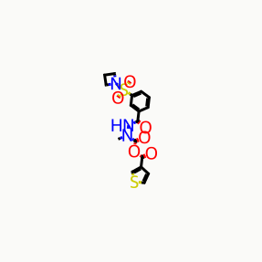 CN(NC(=O)c1cccc(S(=O)(=O)N2CCC2)c1)C(=O)OC(=O)c1ccsc1